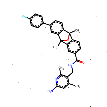 Cc1cc(N)nc(C)c1CNC(=O)c1ccc2c(c1)C1(C)OC2(C)c2ccc(-c3ccc(F)cc3)cc21